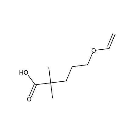 C=COCCCC(C)(C)C(=O)O